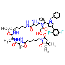 CC(C)C(NC(=O)CCCCCN1C(=O)CC(C)(C)C1=O)C(=O)N[C@@H](C)C(=O)N[C@@H](CCCCNC(=O)[C@@H](N)CCN(C(=O)CO)[C@@H](c1cc(-c2cc(F)ccc2F)cn1Cc1ccccc1)C(C)(C)C)C(=O)O